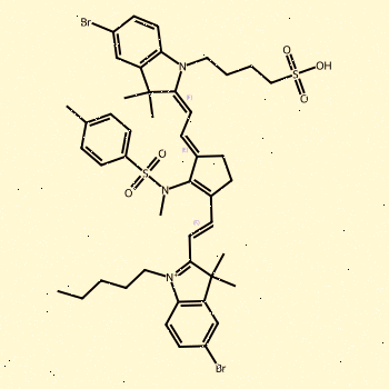 CCCCC[N+]1=C(/C=C/C2=C(N(C)S(=O)(=O)c3ccc(C)cc3)C(=C/C=C3/N(CCCCS(=O)(=O)O)c4ccc(Br)cc4C3(C)C)/CC2)C(C)(C)c2cc(Br)ccc21